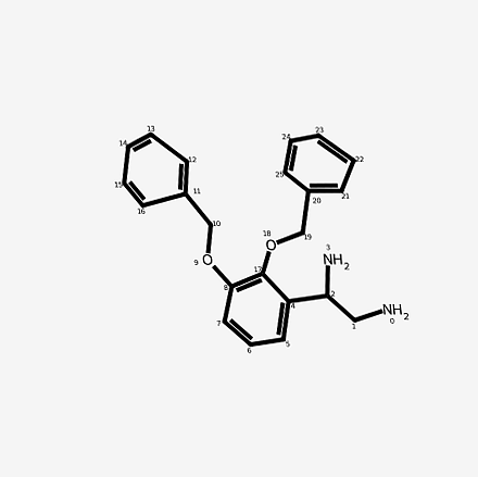 NCC(N)c1cccc(OCc2ccccc2)c1OCc1ccccc1